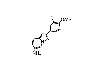 COc1ccc(-c2cc3ccc(N)cn3n2)cc1Cl